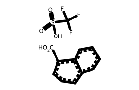 O=C(O)c1cccc2ccccc12.O=S(=O)(O)C(F)(F)F